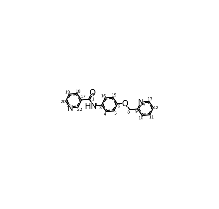 O=C(Nc1ccc(OCc2ccccn2)cc1)c1cccnc1